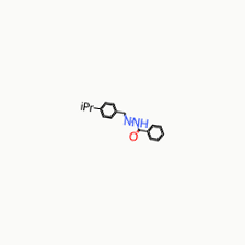 CC(C)c1ccc(/C=N/NC(=O)c2ccccc2)cc1